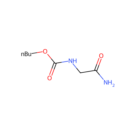 CCCCOC(=O)NCC(N)=O